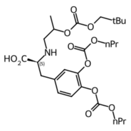 CCCOC(=O)Oc1ccc(C[C@H](NCC(C)OC(=O)OCC(C)(C)C)C(=O)O)cc1OC(=O)OCCC